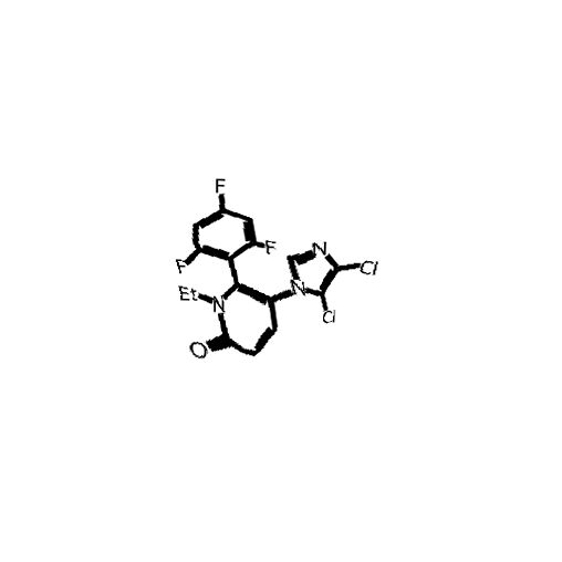 CCn1c(-c2c(F)cc(F)cc2F)c(-n2cnc(Cl)c2Cl)ccc1=O